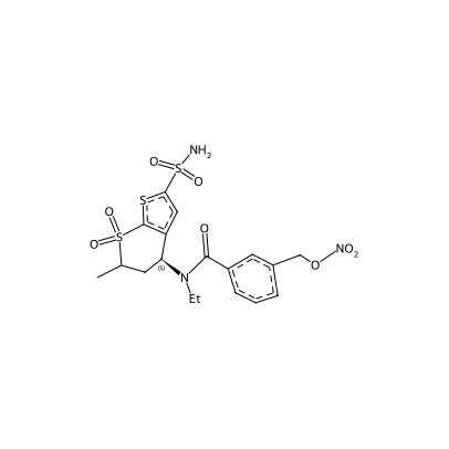 CCN(C(=O)c1cccc(CO[N+](=O)[O-])c1)[C@H]1CC(C)S(=O)(=O)c2sc(S(N)(=O)=O)cc21